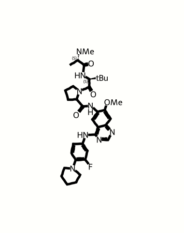 CN[C@@H](C)C(=O)N[C@H](C(=O)N1CCCC1C(=O)Nc1cc2c(Nc3ccc(N4CCCCC4)c(F)c3)ncnc2cc1OC)C(C)(C)C